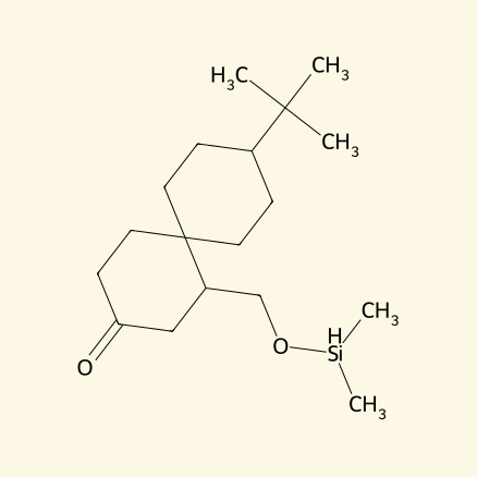 C[SiH](C)OCC1CC(=O)CCC12CCC(C(C)(C)C)CC2